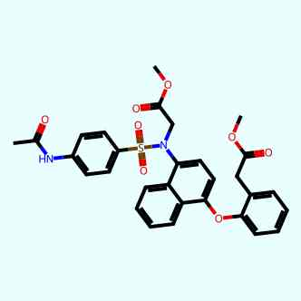 COC(=O)Cc1ccccc1Oc1ccc(N(CC(=O)OC)S(=O)(=O)c2ccc(NC(C)=O)cc2)c2ccccc12